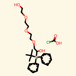 CC(C)(C)[Si](c1ccccc1)(c1ccccc1)C(O)COCCOCCOCCO.O=C(O)Cl